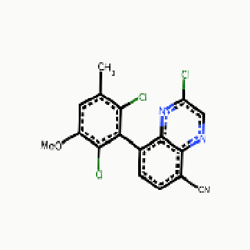 COc1cc(C)c(Cl)c(-c2ccc(C#N)c3ncc(Cl)nc23)c1Cl